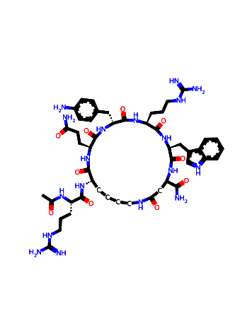 CC(=O)N[C@@H](CCCNC(=N)N)C(=O)N[C@H]1CCCCNC(=O)CC(C(N)=O)NC(=O)[C@H](Cc2c[nH]c3ccccc23)NC(=O)[C@H](CCCNC(=N)N)NC(=O)[C@@H](Cc2ccc(N)cc2)NC(=O)[C@H](CCC(N)=O)NC1=O